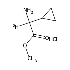 Cl.[2H]C(N)(C(=O)OC)C1CC1